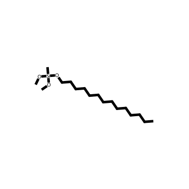 CCCCCCCCCCCCCCO[Si](C)(OC)OC